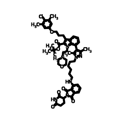 Cc1cc(OCCCc2c(C(=O)OC(C)(C)C)n(CCN3CCOCC3)c3c(-c4c(C)nn(CCCCCCNc5cccc6c5C(=O)N(C5CCC(=O)NC5=O)C6=O)c4C)cccc23)cc(C)c1Cl